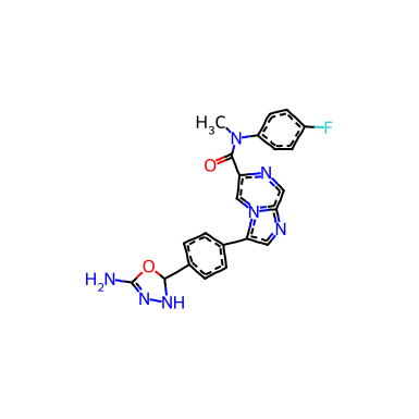 CN(C(=O)c1cn2c(-c3ccc(C4NN=C(N)O4)cc3)cnc2cn1)c1ccc(F)cc1